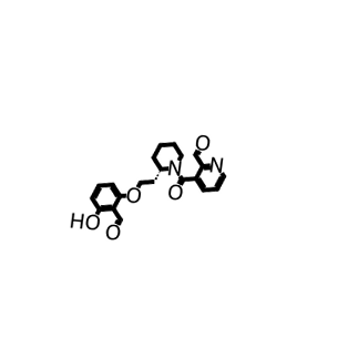 O=Cc1ncccc1C(=O)N1CCCC[C@H]1CCOc1cccc(O)c1C=O